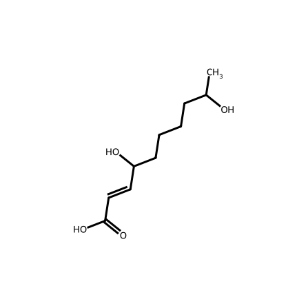 CC(O)CCCCC(O)/C=C/C(=O)O